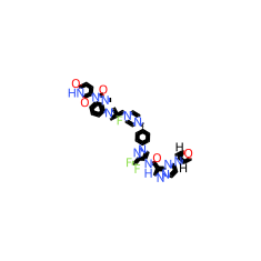 Cn1c(=O)n(C2CCC(=O)NC2=O)c2cccc(N3CC(F)(CN4CCN(C[C@H]5CC[C@H](n6cc(NC(=O)c7cnn8ccc(N9C[C@H]%10C[C@@H]9CO%10)nc78)c(C(F)F)n6)CC5)CC4)C3)c21